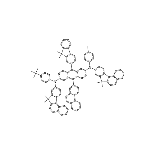 Cc1ccc(N(c2ccc3c(c2)C(C)(C)c2ccc4ccccc4c2-3)c2ccc3c(-c4ccc5c(ccc6ccccc65)c4)c4cc(N(c5ccc(C(C)(C)C)cc5)c5ccc6c(c5)C(C)(C)c5ccc7ccccc7c5-6)ccc4c(-c4ccc5c(c4)C(C)(C)c4ccccc4-5)c3c2)cc1